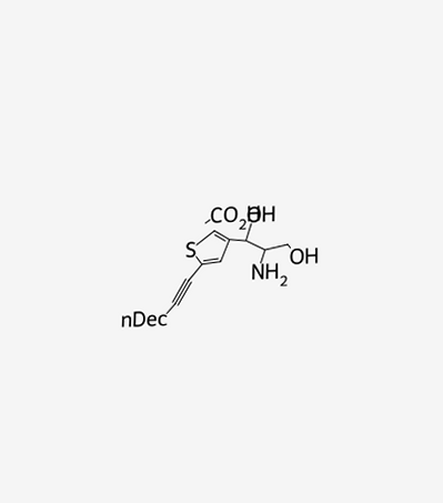 CC(=O)O.CCCCCCCCCCC#Cc1cc(C(O)C(N)CO)cs1